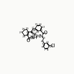 O=C(NCCc1cccc(Cl)c1)c1cccc(Cc2n[nH]c(=O)c3c2CCCC3)c1